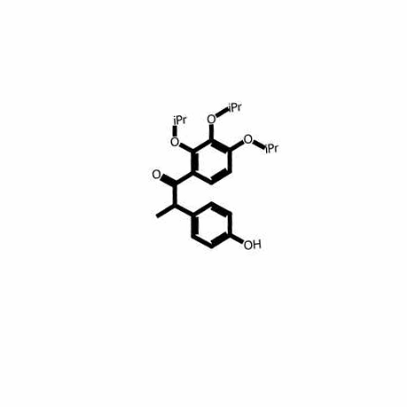 CC(C)Oc1ccc(C(=O)C(C)c2ccc(O)cc2)c(OC(C)C)c1OC(C)C